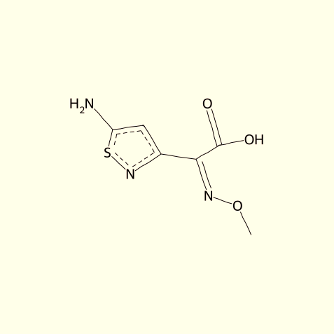 CO/N=C(\C(=O)O)c1cc(N)sn1